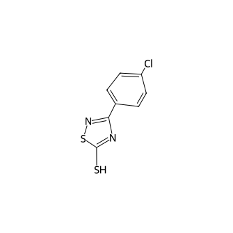 Sc1nc(-c2ccc(Cl)cc2)ns1